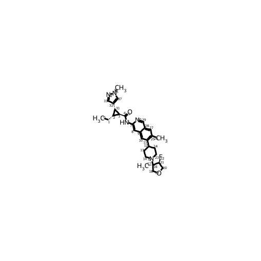 CC[C@H]1[C@H](C(=O)Nc2cc3cc(C4CCN([C@]5(C)COC[C@@H]5F)CC4)c(C)cc3cn2)[C@H]1c1cnn(C)c1